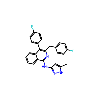 Cc1cc(Nc2nc(Cc3ccc(F)cc3)c(-c3ccc(F)cc3)c3ccccc23)n[nH]1